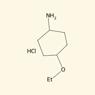 CCOC1CCC(N)CC1.Cl